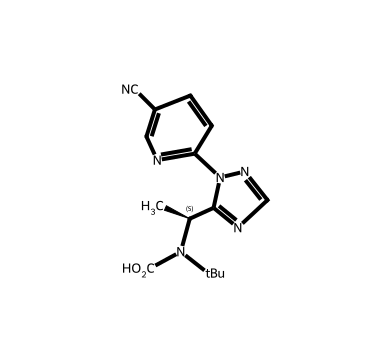 C[C@@H](c1ncnn1-c1ccc(C#N)cn1)N(C(=O)O)C(C)(C)C